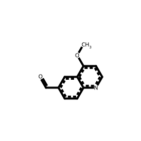 COc1ccnc2ccc(C=O)cc12